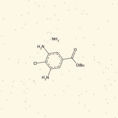 CC(C)COC(=O)c1cc(N)c(Cl)c(N)c1.N